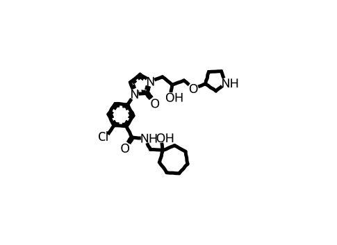 O=C(NCC1(O)CCCCCC1)c1cc(-n2ccn(CC(O)COC3CCNC3)c2=O)ccc1Cl